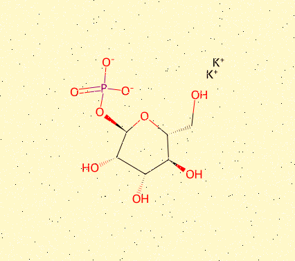 O=P([O-])([O-])O[C@H]1O[C@H](CO)[C@@H](O)[C@H](O)[C@@H]1O.[K+].[K+]